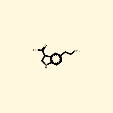 NCCc1ccc2c(c1)C(C(=O)O)CN2